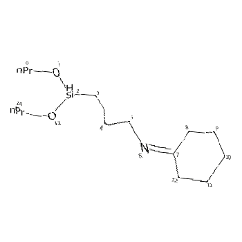 CCCO[SiH](CCCN=C1CCCCC1)OCCC